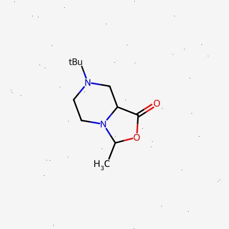 CC1OC(=O)C2CN(C(C)(C)C)CCN12